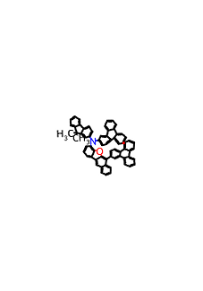 CC1(C)c2ccccc2-c2ccc(N(c3ccc4c5ccccc5c5ccccc5c4c3)c3cccc4c3oc3c(-c5ccc6c7ccccc7c7ccccc7c6c5)c5ccccc5cc34)cc21